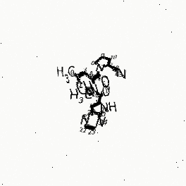 CC(C)CC(C(=O)N1CCCC1C#N)N(C)C(=O)c1cc2nccnc2[nH]1